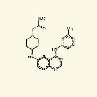 COC(=O)CN1CCC(Nc2ccc3ncnc(Nc4cccc(C)c4)c3n2)CC1